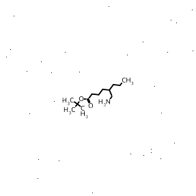 CCCC(CN)CCCC(=O)OC(C)(C)C